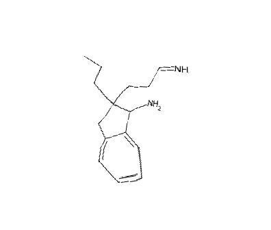 CCCC1(CCC=N)Cc2ccccc2C1N